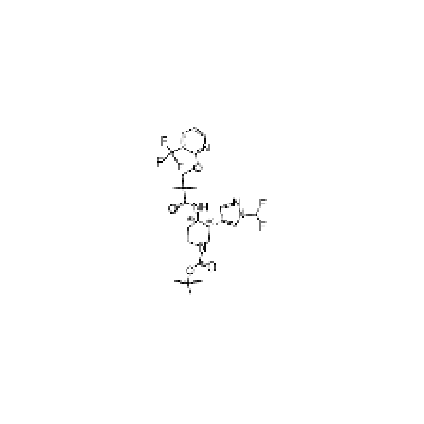 CC(C)(C)OC(=O)N1CC[C@@H](NC(=O)C(C)(C)COc2ncccc2C(F)(F)F)[C@H](c2cnn(C(F)F)c2)C1